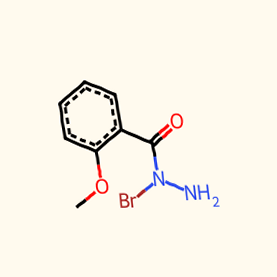 COc1ccccc1C(=O)N(N)Br